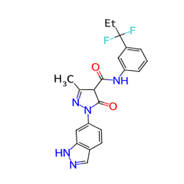 CCC(F)(F)c1cccc(NC(=O)C2C(=O)N(c3ccc4cn[nH]c4c3)N=C2C)c1